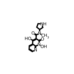 CN(C(=O)c1c(O)c2cccnc2n(O)c1=O)C1CCNC1